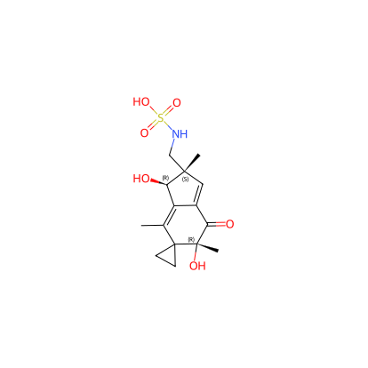 CC1=C2C(=C[C@@](C)(CNS(=O)(=O)O)[C@@H]2O)C(=O)[C@](C)(O)C12CC2